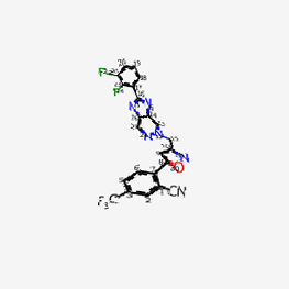 N#Cc1cc(C(F)(F)F)ccc1-c1cc(Cn2cc3nc(-c4cccc(F)c4F)nc-3cn2)no1